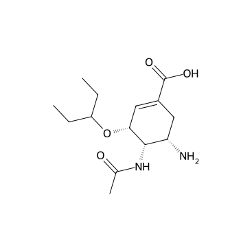 CCC(CC)O[C@@H]1C=C(C(=O)O)C[C@H](N)[C@@H]1NC(C)=O